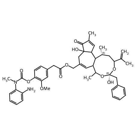 C=C(C)C1C[C@@H](C)C2C(C=C(COC(=O)Cc3ccc(OC(=O)N(C)c4ccccc4N)c(OC)c3)CC3(O)C(=O)C(C)=CC23)C(C)O[C@](O)(Cc2ccccc2)O1